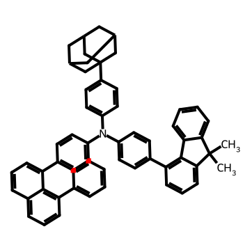 CC1(C)c2ccccc2-c2c(-c3ccc(N(c4ccc(-c5cccc6cccc(-c7ccccc7)c56)cc4)c4ccc(C56CC7CC(CC(C7)C5)C6)cc4)cc3)cccc21